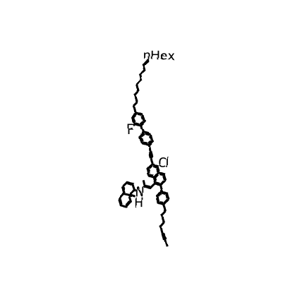 CC#CCCCCc1ccc(-c2ccc3c(Cl)c(C#Cc4ccc(-c5ccc(CCCCCCCC/C=C/CCCCCC)cc5F)cc4)ccc3c2/C=C(\C)NC2C=CC=C3C=CC=CC32C)cc1